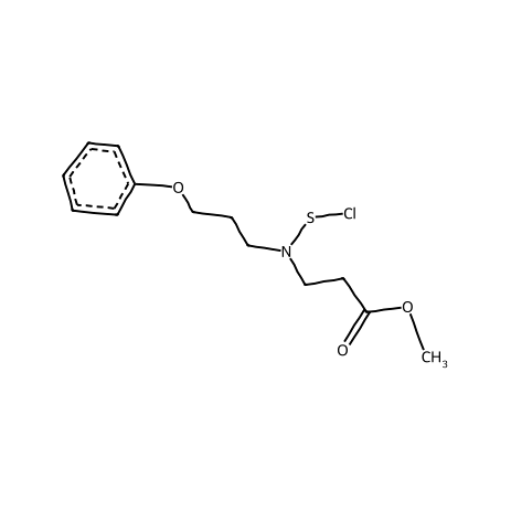 COC(=O)CCN(CCCOc1ccccc1)SCl